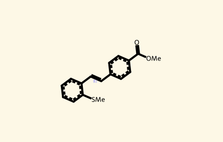 COC(=O)c1ccc(/C=C/c2ccccc2SC)cc1